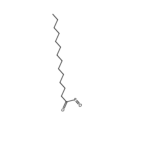 CCCCCCCCCCCCCC(=O)P=O